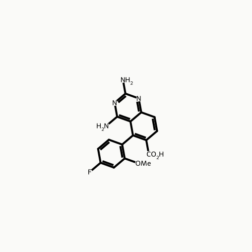 COc1cc(F)ccc1-c1c(C(=O)O)ccc2nc(N)nc(N)c12